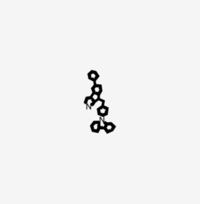 c1ccc(-c2ccc3c(c2)-c2ccncc2C3Cc2ccc(-n3c4ccccc4c4ccccc43)cc2)cc1